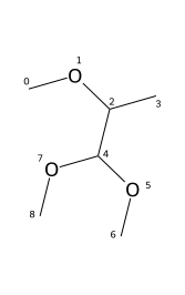 COC(C)C(OC)OC